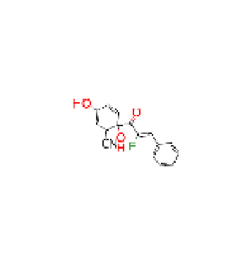 N#CC1C=C(O)C=CC1(O)C(=O)C(F)=Cc1ccccc1